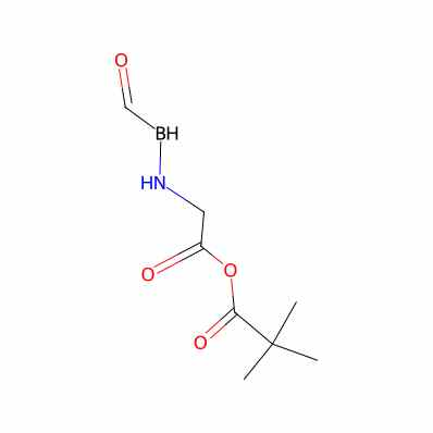 CC(C)(C)C(=O)OC(=O)CNBC=O